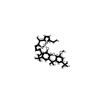 CCc1ccc2n1P(Oc1cc(C(C)(C)C)cc3c1Oc1c(OC)cc(C(C)(C)C)cc1C3(C)C)n1c(CC)ccc1C2C